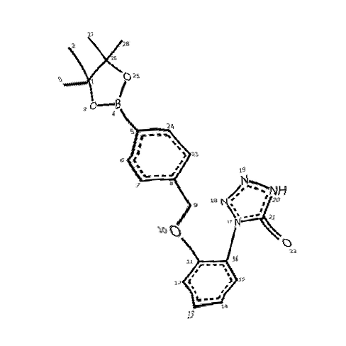 CC1(C)OB(c2ccc(COc3ccccc3-n3nn[nH]c3=O)cc2)OC1(C)C